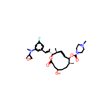 C/C(=C\c1cc(F)cc(N(C)C2COC2)c1)[C@H]1OC(=O)C[C@H](O)CC[C@H](C)[C@H](OC(=O)N2CCN(C)CC2)/C=C/[C@@H]1C